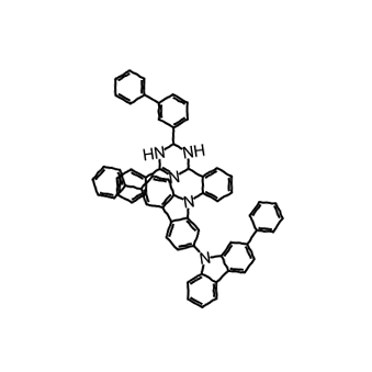 c1ccc(C2=NC(c3ccccc3-n3c4ccc(-c5ccccc5)cc4c4ccc(-n5c6ccccc6c6ccc(-c7ccccc7)cc65)cc43)NC(c3cccc(-c4ccccc4)c3)N2)cc1